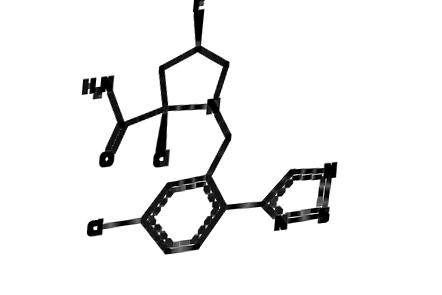 NC(=O)[C@]1(Cl)C[C@@H](F)CN1Cc1cc(Cl)ccc1-c1cnsn1